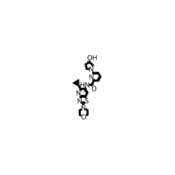 O=C(Nc1cc2sc(N3CCOCC3)nc2nc1C1CC1)c1cccc(N2CC[C@H](O)C2)n1